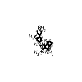 COc1nc(Nc2ccc(C3CCN(C)CC3)c(C)c2)nc(-c2c(F)cccc2Br)c1C(N)=O